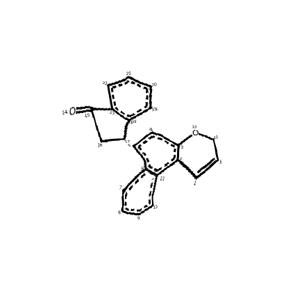 C1=Cc2c(ccc3ccccc23)OC1.O=C1CCc2ccccc21